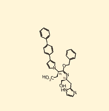 O=C(O)C[C@H](C(=N[C@H](CO)Cc1ncc[nH]1)OCc1ccccc1)n1ccc(-c2ccc(-c3ccccc3)cc2)c1